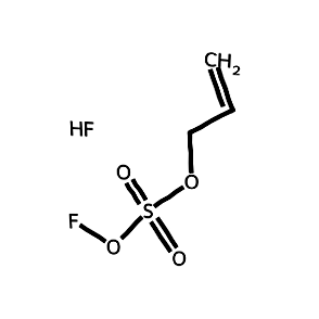 C=CCOS(=O)(=O)OF.F